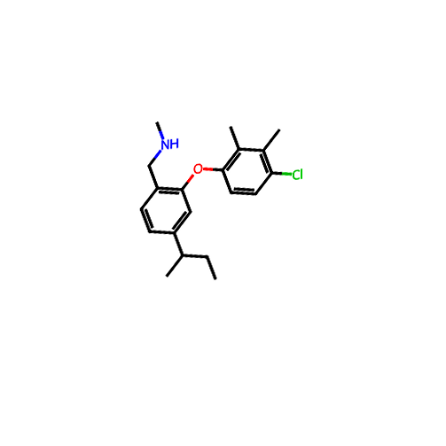 CCC(C)c1ccc(CNC)c(Oc2ccc(Cl)c(C)c2C)c1